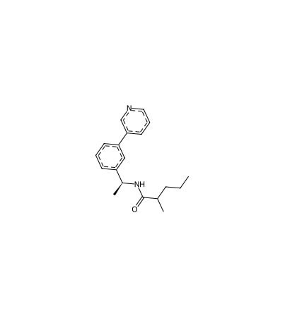 CCCC(C)C(=O)N[C@@H](C)c1cccc(-c2cccnc2)c1